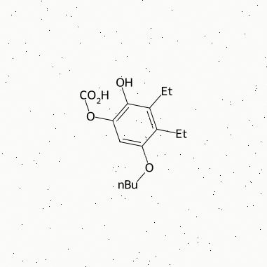 CCCCOc1cc(OC(=O)O)c(O)c(CC)c1CC